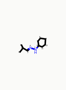 CC(C)/C=N/NC1CCCCC1